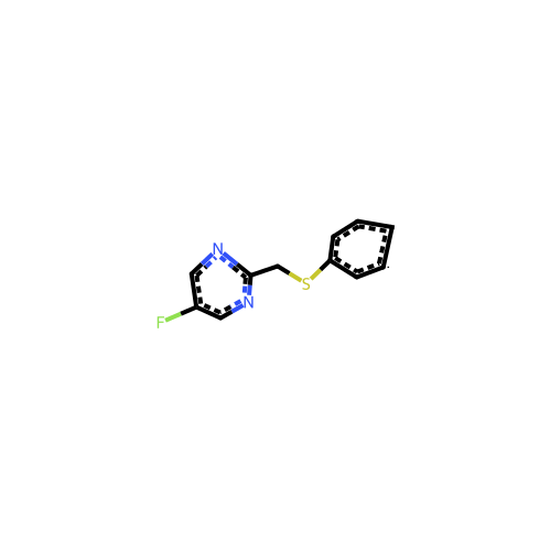 Fc1cnc(CSc2c[c]ccc2)nc1